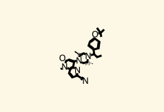 CCC(c1ccc(OC(C)(C)C)cc1)N1C[C@H](C)N(c2cc(=O)n(C)c3ccc(C#N)nc23)C[C@H]1C